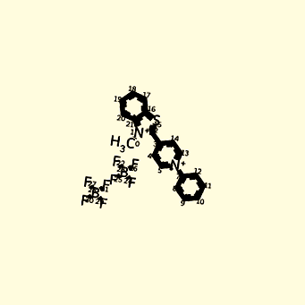 C[n+]1c(-c2cc[n+](-c3ccccc3)cc2)sc2ccccc21.F[B-](F)(F)F.F[B-](F)(F)F